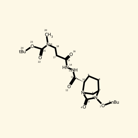 CCCCON1C(=O)N2CC1CC[C@H]2C(=O)NNC(=O)CCN(C)C(=O)OC(C)(C)C